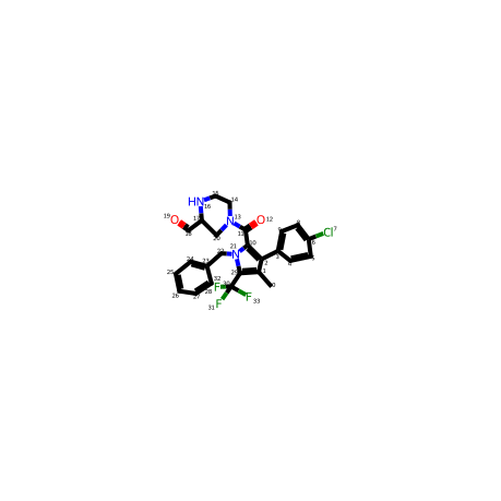 Cc1c(-c2ccc(Cl)cc2)c(C(=O)N2CCNC(C=O)C2)n(Cc2ccccc2)c1C(F)(F)F